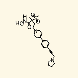 CC(CCN1CC=C(c2ccc(C#CCN3CCCC3)cc2)CC1)(C(=O)NO)S(C)(=O)=O